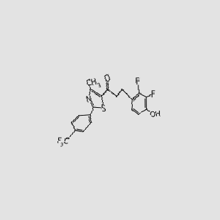 Cc1nc(-c2ccc(C(F)(F)F)cc2)sc1C(=O)CCc1ccc(O)c(F)c1F